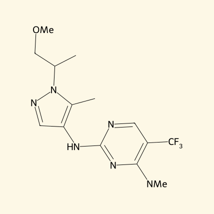 CNc1nc(Nc2cnn(C(C)COC)c2C)ncc1C(F)(F)F